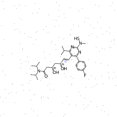 CC(C)c1nc(N(C)S)nc(-c2ccc(F)cc2)c1/C=C/[C@@H](O)C[C@@H](O)CC(=O)N(C(C)C)C(C)C